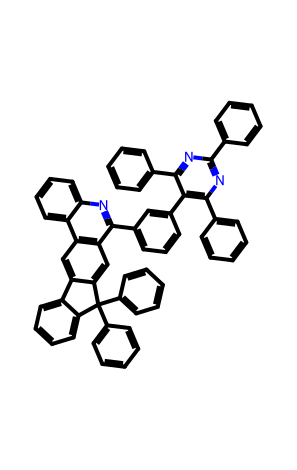 c1ccc(-c2nc(-c3ccccc3)c(-c3cccc(-c4nc5ccccc5c5cc6c(cc45)C(c4ccccc4)(c4ccccc4)c4ccccc4-6)c3)c(-c3ccccc3)n2)cc1